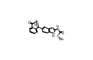 CCC(C)OC(=O)Nc1nc2cc(-c3n[nH]c(=O)c4ccccc34)ccc2[nH]1